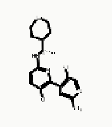 C[C@H](Nc1ccc(Cl)c(-c2cc(N)ncc2Cl)n1)C1CCOCC1